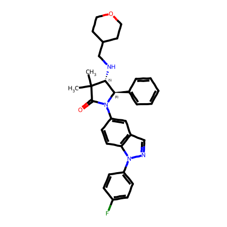 CC1(C)C(=O)N(c2ccc3c(cnn3-c3ccc(F)cc3)c2)[C@H](c2ccccc2)[C@H]1NCC1CCOCC1